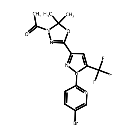 CC(=O)N1N=C(c2cc(C(F)(F)F)n(-c3ccc(Br)cn3)n2)OC1(C)C